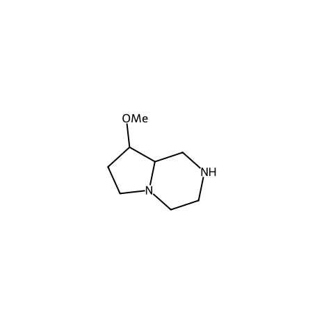 COC1CCN2CCNCC12